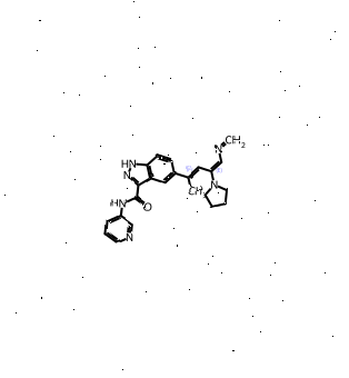 C=N/C=C(\C=C(/C)c1ccc2[nH]nc(C(=O)Nc3cccnc3)c2c1)N1CCCC1